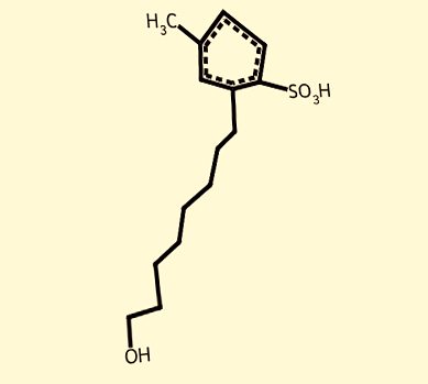 Cc1ccc(S(=O)(=O)O)c(CCCCCCCCO)c1